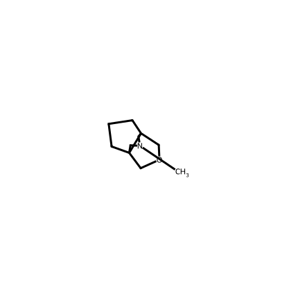 CN1CC23CCCC2(COC3)C1